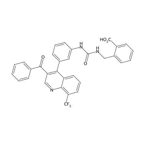 O=C(NCc1ccccc1C(=O)O)Nc1cccc(-c2c(C(=O)c3ccccc3)cnc3c(C(F)(F)F)cccc23)c1